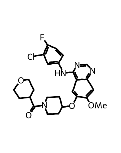 COc1cc2ncnc(Nc3ccc(F)c(Cl)c3)c2cc1OC1CCN(C(=O)C2CCOCC2)CC1